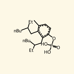 CCCCC(CC)Cc1c(C)ccc(OP(=O)(O)O)c1CC(CC)CCCC